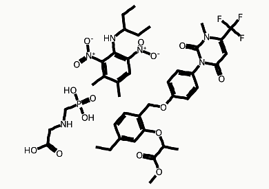 CCC(CC)Nc1c([N+](=O)[O-])cc(C)c(C)c1[N+](=O)[O-].CCc1ccc(COc2ccc(-n3c(=O)cc(C(F)(F)F)n(C)c3=O)cc2)c(OC(C)C(=O)OC)c1.O=C(O)CNCP(=O)(O)O